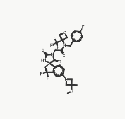 COC1(C)CN(c2ccc3c(c2)C(F)(F)C[C@]32NC(=O)N(CC(=O)N(Cc3ccc(F)cc3)C3(C(F)(F)F)COC3)C2=O)C1